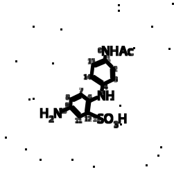 CC(=O)Nc1ccc(Nc2ccc(N)cc2S(=O)(=O)O)cc1